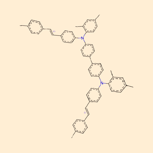 Cc1ccc(/C=C/c2ccc(N(c3ccc(-c4ccc(N(c5ccc(/C=C/c6ccc(C)cc6)cc5)c5ccc(C)cc5C)cc4)cc3)c3ccc(C)cc3C)cc2)cc1